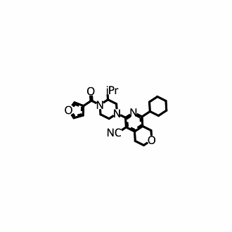 CC(C)C1CN(c2nc(C3CCCCC3)c3c(c2C#N)CCOC3)CCN1C(=O)c1ccoc1